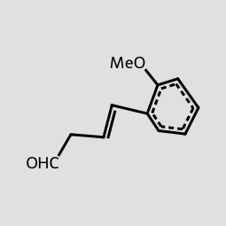 COc1ccccc1C=CCC=O